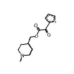 CN1CCC(COC(=O)C(=O)c2cccs2)CC1